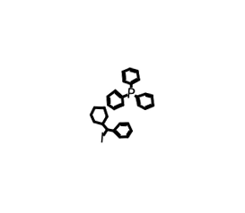 IC(c1ccccc1)C1CCCCC1.c1ccc(P(c2ccccc2)c2ccccc2)cc1